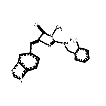 CN1C(=O)/C(=C/c2ccc3ncsc3c2)N=C1NCc1ccccc1C(F)(F)F